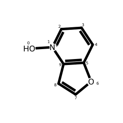 O[n+]1cccc2occc21